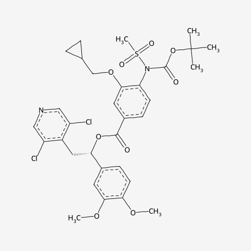 COc1ccc([C@H](Cc2c(Cl)cncc2Cl)OC(=O)c2ccc(N(C(=O)OC(C)(C)C)S(C)(=O)=O)c(OCC3CC3)c2)cc1OC